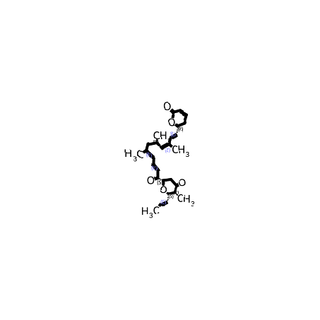 C/C=C/[C@@H]1O[C@H](C(=O)/C=C/C=C(\C)C[C@@H](C)/C=C(C)\C=C\[C@H]2CC=CC(=O)O2)CC(=O)[C@@H]1C